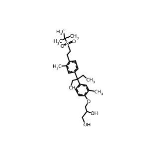 CCC(CC)(c1ccc(CCS(=O)(=O)C(C)(C)C)c(C)c1)c1ccc(OCC(O)CO)c(C)c1